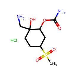 CS(=O)(=O)C1CCC(O)(CN)C(OC(N)=O)C1.Cl